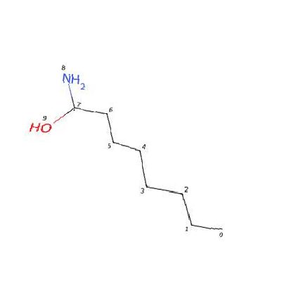 CCCCCCC[C](N)O